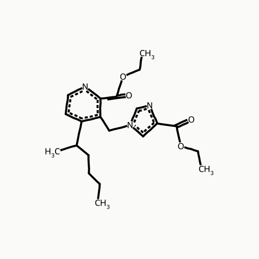 CCCCC(C)c1ccnc(C(=O)OCC)c1Cn1cnc(C(=O)OCC)c1